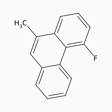 Cc1cc2ccccc2c2c(F)cccc12